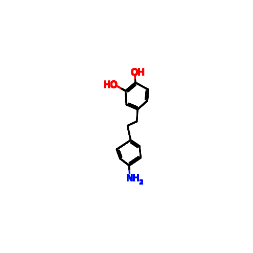 Nc1ccc(CCc2ccc(O)c(O)c2)cc1